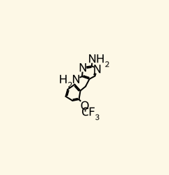 Nc1ncc(Cc2ccccc2OC(F)(F)F)c(N)n1